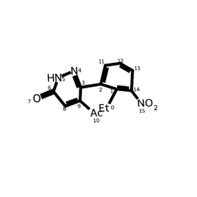 CCc1c(-c2n[nH]c(=O)cc2C(C)=O)cccc1[N+](=O)[O-]